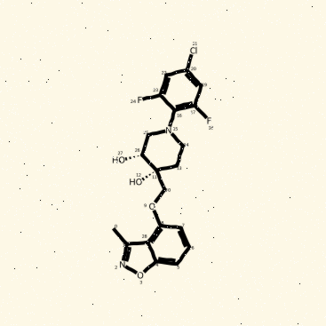 Cc1noc2cccc(OC[C@]3(O)CCN(c4c(F)cc(Cl)cc4F)C[C@H]3O)c12